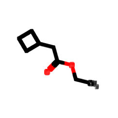 CCOC(=O)CC1CCC1